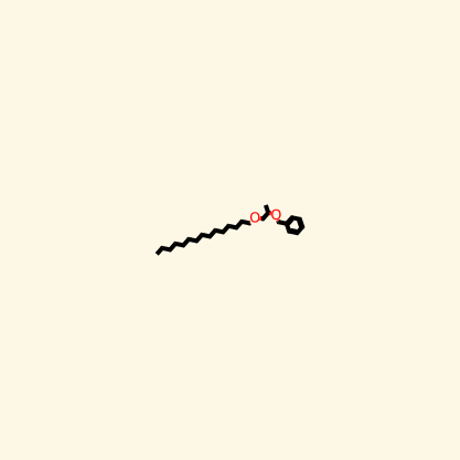 CCCCCCCCCCCCCCCOCC(C)OCc1ccccc1